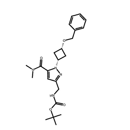 CN(C)C(=O)c1cc(CNC(=O)OC(C)(C)C)nn1[C@H]1C[C@@H](OCc2ccccc2)C1